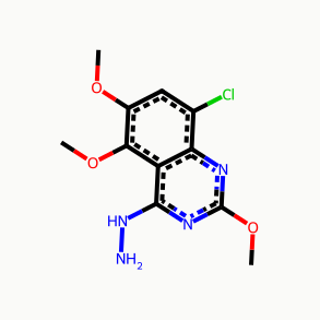 COc1nc(NN)c2c(OC)c(OC)cc(Cl)c2n1